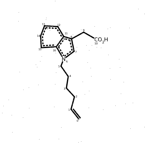 C=CCCCCn1cc(CC(=O)O)c2ccccc21